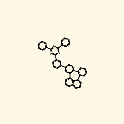 c1ccc(-c2nc(-c3ccccc3)nc(-c3cccc(-c4ccc5c(c4)-c4cccc6cccc(c46)-c4ccccc4-5)c3)n2)cc1